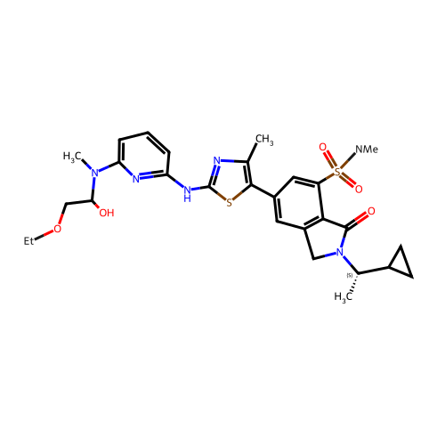 CCOCC(O)N(C)c1cccc(Nc2nc(C)c(-c3cc4c(c(S(=O)(=O)NC)c3)C(=O)N([C@@H](C)C3CC3)C4)s2)n1